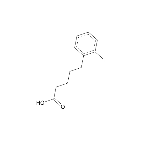 O=C(O)CCCCc1ccccc1I